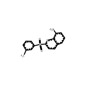 O=[N+]([O-])c1cccc2ccc(S(=O)(=O)c3cccc(C(F)(F)F)c3)nc12